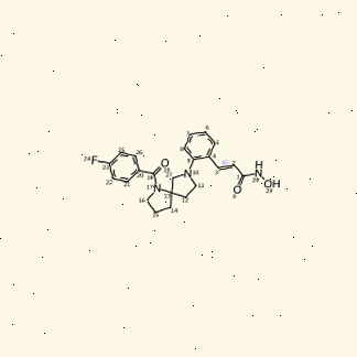 O=C(/C=C/c1ccccc1N1CCC2(CCCN2C(=O)c2ccc(F)cc2)C1)NO